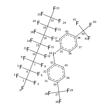 FC(F)(F)C(F)(F)C(F)(F)C(F)(F)C(F)(F)C(F)(F)C(F)(F)C(F)(F)F.FC(F)(F)c1ccc([I+]c2ccc(C(F)(F)F)cc2)cc1